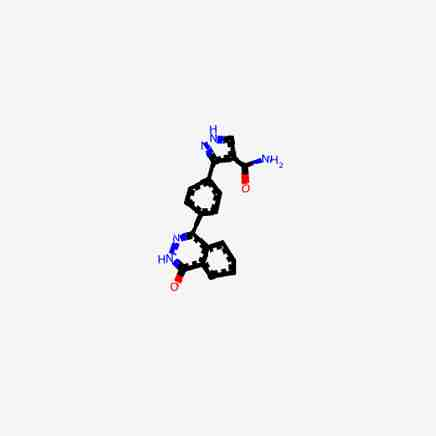 NC(=O)c1c[nH]nc1-c1ccc(-c2n[nH]c(=O)c3ccccc23)cc1